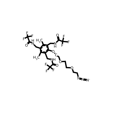 Cc1c(CNC(=O)C(F)(F)F)c(C)c(CNC(=O)C(F)(F)F)c(OCCOCCOCCN=[N+]=[N-])c1CNC(=O)C(F)(F)F